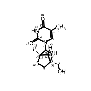 Cc1cn(C2O[C@@]3(CO)CS[C@@H]2[C@@H]3O)c(=O)[nH]c1=O